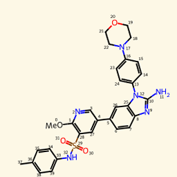 COc1ncc(-c2ccc3nc(N)n(-c4ccc(N5CCOCC5)cc4)c3c2)cc1S(=O)(=O)Nc1ccc(C)cc1